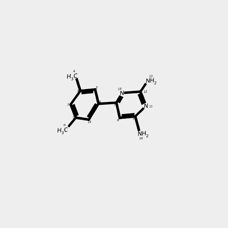 Cc1cc(C)cc(-c2cc(N)nc(N)n2)c1